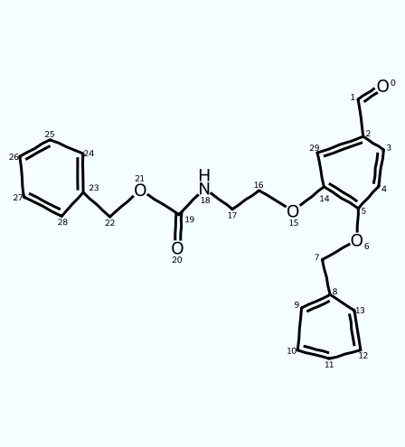 O=Cc1ccc(OCc2ccccc2)c(OCCNC(=O)OCc2ccccc2)c1